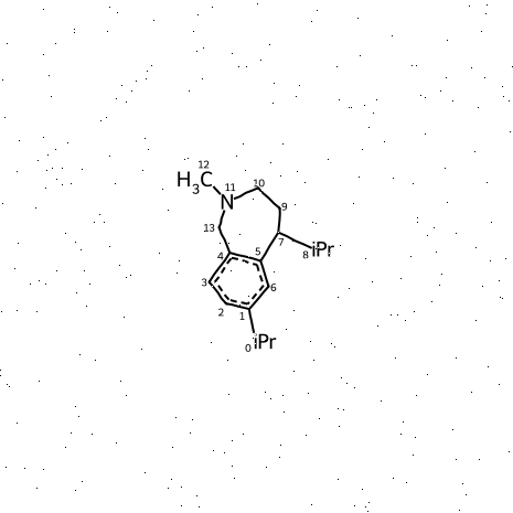 CC(C)c1ccc2c(c1)C(C(C)C)CCN(C)C2